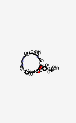 CO[C@H]1CC2CC[C@@H](C)[C@@](O)(O2)C(=O)C(=O)N2CCCC3[C@H]2C(=O)O[C@@H](CC(=O)[C@H](C)/C=C(\C)[C@@H](O)[C@@H](CO)C(=O)[C@H](C)C[C@@](C)(O)/C=C/C=C/C=C/1C)[C@H]3CC1CC[C@@H](OC(=O)C(C)(CO)CO)[C@H](OC)C1